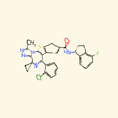 Cc1nnc2n1-c1sc3c(c1C(c1ccccc1Cl)=NC21CC1)C[C@H](C(=O)N[C@H]1CCc2c(F)cccc21)C3